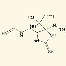 CN1CCC(O)(O)C12NC(=N)NC2CNC=N